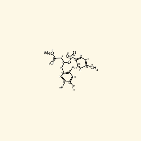 COC(=O)CC(Cc1cc(F)c(F)cc1F)OS(=O)(=O)c1ccc(C)cc1